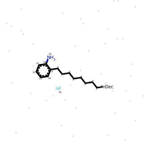 CCCCCCCCCCCCCCCCCCc1ccccc1N.F